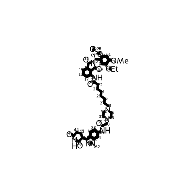 CCOc1cc([C@@H](CS(C)(=O)=O)N2C(=O)c3cccc(NC(=O)CCCCCCCN4CCN(CC(=O)Nc5ccc6c(C7CCC(=O)NC7=O)nn(C)c6c5)CC4)c3C2=O)ccc1OC